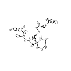 CCCCCCCCOC(=O)CCSC1(SCCC(=O)OCCCCCCCC)CCCCC1